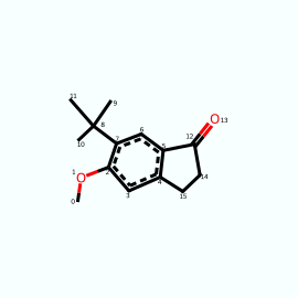 COc1cc2c(cc1C(C)(C)C)C(=O)CC2